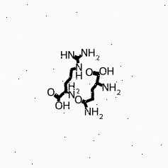 N=C(N)NCCC[C@H](N)C(=O)O.NC(=O)CCC(N)C(=O)O